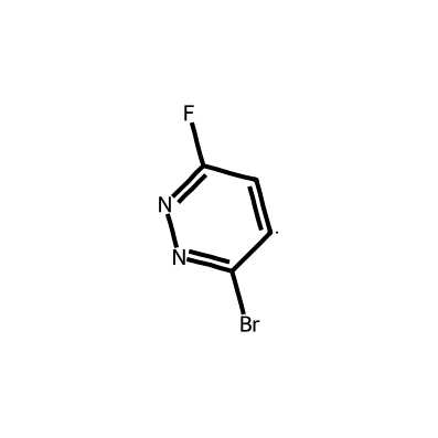 Fc1c[c]c(Br)nn1